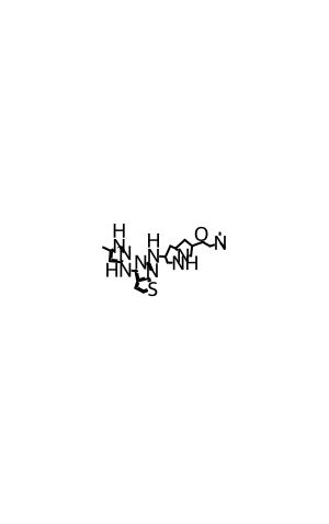 Cc1cc(Nc2nc(NC3CNN4CC(C(=O)CN(C)C)CC4C3)nc3sccc23)n[nH]1